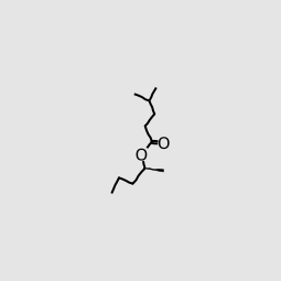 CCC[C@H](C)OC(=O)CCC(C)C